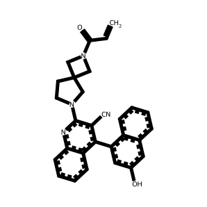 C=CC(=O)N1CC2(CCN(c3nc4ccccc4c(-c4cc(O)cc5ccccc45)c3C#N)C2)C1